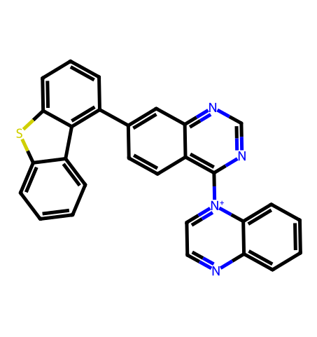 c1ccc2c(c1)ncc[n+]2-c1ncnc2cc(-c3cccc4sc5ccccc5c34)ccc12